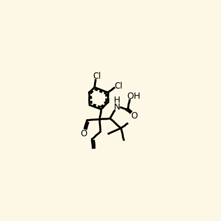 C=CCC(C=O)(c1ccc(Cl)c(Cl)c1)C(NC(=O)O)C(C)(C)C